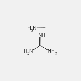 CN.N=C(N)N